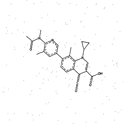 CC(=O)N(C)c1ncc(-c2ccc3c(c2C)N(C2CC2)C=C(C(=O)O)C3=C=O)cc1C